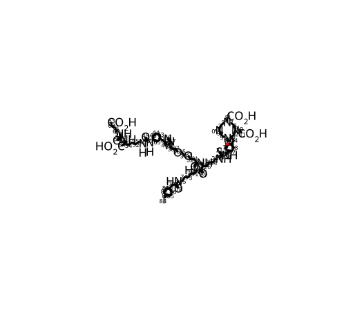 CN1CCN(CC(=O)O)CCN(CC(=O)O)CC(Cc2ccc(NC(=S)NCCCCC(NC(=O)CCOCCOCCn3cc(-c4cccc(NC(=O)NCCCCC(NC(=O)NCCCC(=O)O)C(=O)O)c4)nn3)C(=O)NCCCCCNC(=O)Cc3ccc(I)cc3)cc2)N(C)CC1